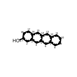 Oc1[c]c2cc3cc4ccccc4cc3cc2cc1